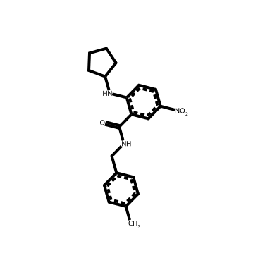 Cc1ccc(CNC(=O)c2cc([N+](=O)[O-])ccc2NC2CCCC2)cc1